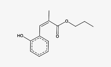 CCCOC(=O)C(C)=Cc1ccccc1O